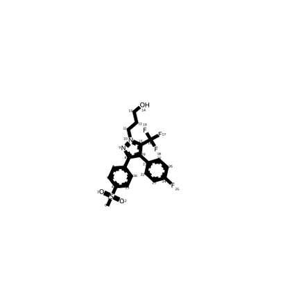 CS(=O)(=O)c1ccc(-c2nn(CCCO)c(C(F)(F)F)c2-c2ccc(F)cc2)cc1